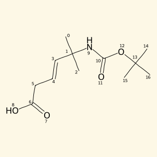 CC(C)(C=CCC(=O)O)NC(=O)OC(C)(C)C